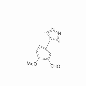 COc1ccc(-n2[c]nnn2)cc1C=O